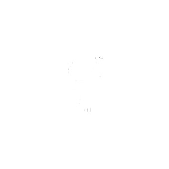 CCCCC(CC)CCC(=O)O